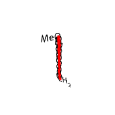 C=CC(=O)OCCOCCOCCOCCOCCOCCOCCOCCOCCOCCOCCOCCOCCOC